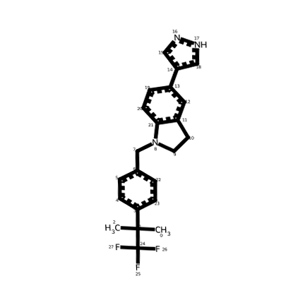 CC(C)(c1ccc(CN2CCc3cc(-c4cn[nH]c4)ccc32)cc1)C(F)(F)F